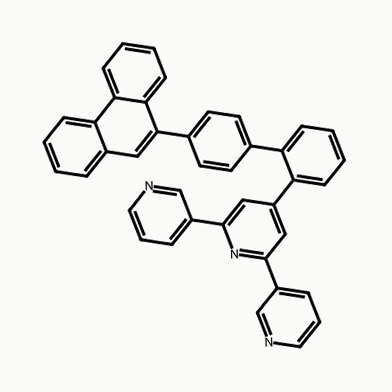 c1cncc(-c2cc(-c3ccccc3-c3ccc(-c4cc5ccccc5c5ccccc45)cc3)cc(-c3cccnc3)n2)c1